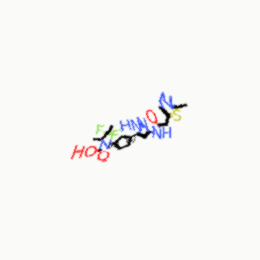 Cc1ncc(CC(=O)Nc2cc([C@H]3CC[C@@H](N(C(=O)O)C(C)C(C)(F)F)C3)[nH]n2)s1